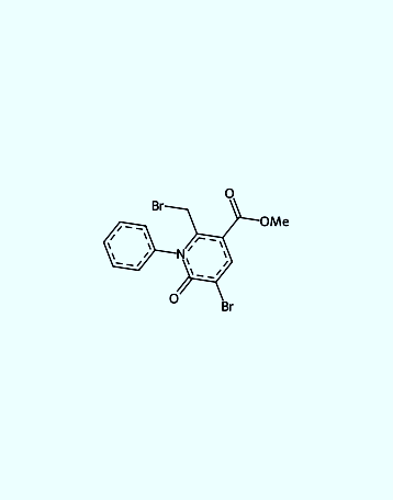 COC(=O)c1cc(Br)c(=O)n(-c2ccccc2)c1CBr